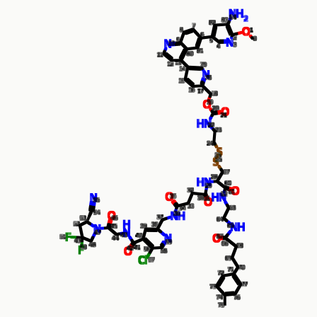 COc1ncc(-c2ccc3nccc(-c4ccc(COC(=O)NCCSSCC(NC(=O)CCC(=O)NCc5cc(C(=O)NCC(=O)N6CC(F)(F)C[C@H]6C#N)c(Cl)cn5)C(=O)NCCNC(=O)CCCc5ccc(C)cc5)nc4)c3c2)cc1N